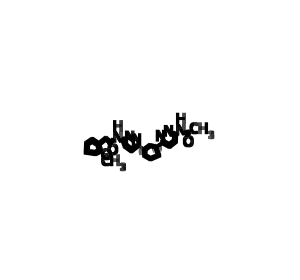 COc1ccccc1CC(=O)Nc1ccc([C@H]2CCC[C@H](c3ccc(NC(C)=O)nn3)C2)nn1